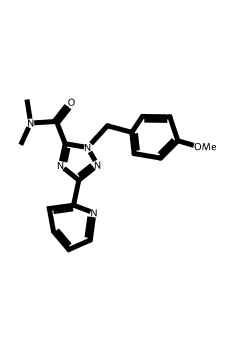 COc1ccc(Cn2nc(-c3ccccn3)nc2C(=O)N(C)C)cc1